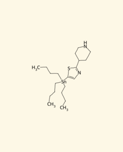 CCC[CH2][Sn]([CH2]CCC)([CH2]CCC)[c]1cnc(C2CCNCC2)s1